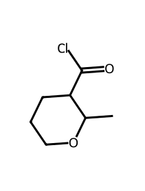 CC1OCCCC1C(=O)Cl